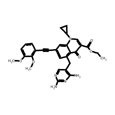 CCOC(=O)c1cn(C2CC2)c2cc(C#Cc3cccc(OC)c3OC)cc(Cc3cnc(N)nc3N)c2c1=O